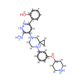 Nc1nnc(-c2ccccc2O)cc1N1CCN(c2cccc(OC3CCNCC3)c2)C2(CC2)C1